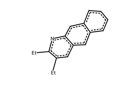 CCc1cc2cc3ccccc3cc2nc1CC